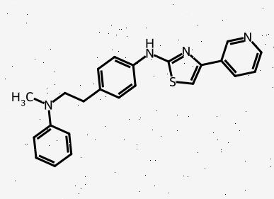 CN(CCc1ccc(Nc2nc(-c3cccnc3)cs2)cc1)c1ccccc1